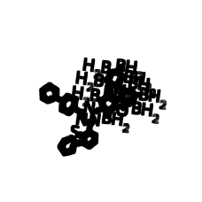 Bc1c(B)c(B)c(-c2c(B)c(B)c(B)c3oc4c(B)c(-c5nc(-c6ccc(-c7ccccc7)cc6)nc(-c6cccc7c6sc6ccccc67)n5)c(B)c(B)c4c23)c(B)c1B